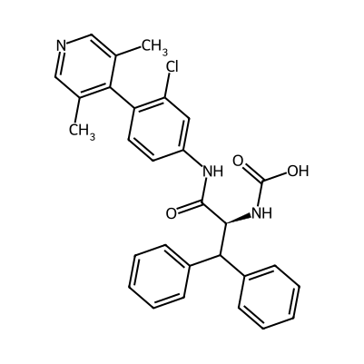 Cc1cncc(C)c1-c1ccc(NC(=O)[C@@H](NC(=O)O)C(c2ccccc2)c2ccccc2)cc1Cl